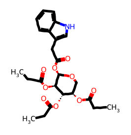 CCC(=O)O[C@@H]1[C@@H](OC(=O)CC)[C@@H](OC(=O)Cc2c[nH]c3ccccc23)OC[C@@H]1OC(=O)CC